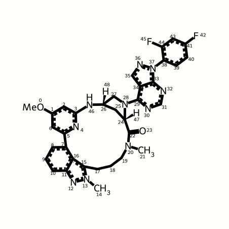 COc1cc2nc(c1)-c1cccc3nn(C)c(c13)CCCN(C)C(=O)[C@@H]1C[C@@H](CN1c1ncnc3c1cnn3-c1ccc(F)cc1F)N2